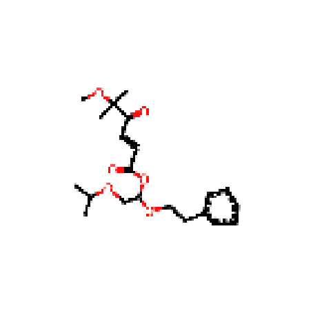 COC(C)(C)C(=O)/C=C/C(=O)OC(COC(C)C)OCCc1ccccc1